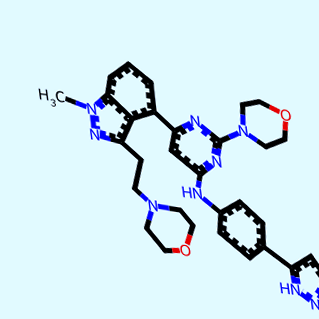 Cn1nc(CCN2CCOCC2)c2c(-c3cc(Nc4ccc(-c5ccn[nH]5)cc4)nc(N4CCOCC4)n3)cccc21